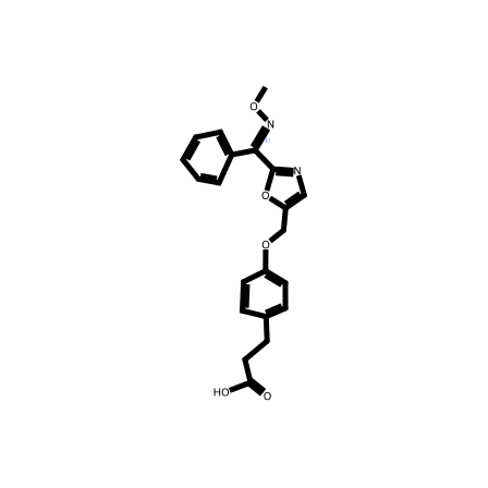 CO/N=C(\c1ccccc1)c1ncc(COc2ccc(CCC(=O)O)cc2)o1